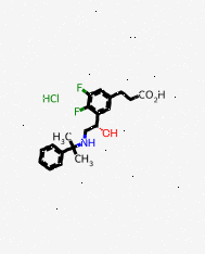 CC(C)(NC[C@@H](O)c1cc(CCC(=O)O)cc(F)c1F)c1ccccc1.Cl